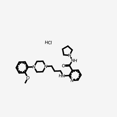 COc1ccccc1N1CCN(CCCNc2ncccc2C(=O)NN2CCCC2)CC1.Cl